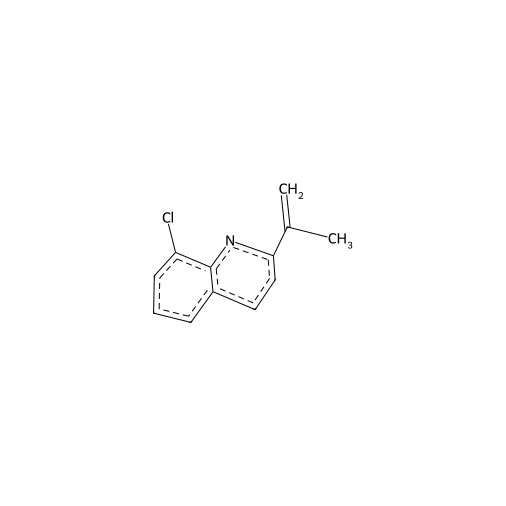 C=C(C)c1ccc2cccc(Cl)c2n1